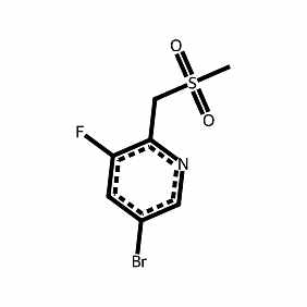 CS(=O)(=O)Cc1ncc(Br)cc1F